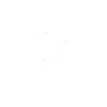 C=CCCC(CCCCCCC)c1ccccc1C(SCCC(=O)OC)C(O)CSCC(=O)OC